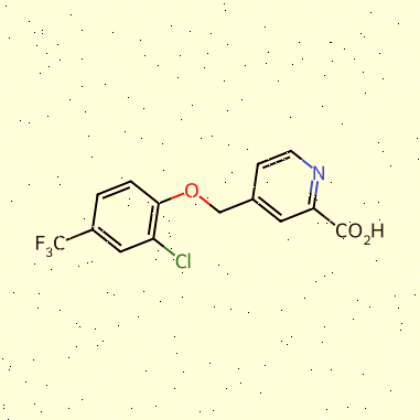 O=C(O)c1cc(COc2ccc(C(F)(F)F)cc2Cl)ccn1